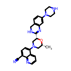 C[C@@H]1CN(c2ccc(C#N)c3ncccc23)C[C@H](C2=Nc3cc(N4CCNCC4)ccc3CN2)O1